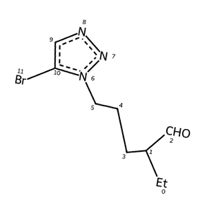 CCC(C=O)CCCn1nncc1Br